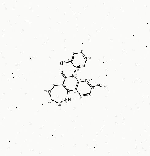 O=c1c2c(c3ccc(C(F)(F)F)nc3n1-c1ccccc1Cl)NCCOC2